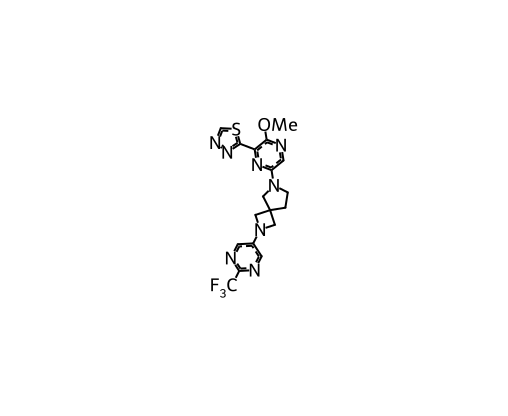 COc1ncc(N2CCC3(CN(c4cnc(C(F)(F)F)nc4)C3)C2)nc1-c1nncs1